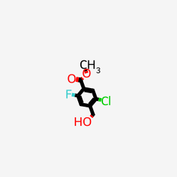 COC(=O)c1cc(Cl)c(CO)cc1F